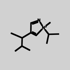 CC(C)C(C)C1=C[N+](C)(C(C)C)N=C1